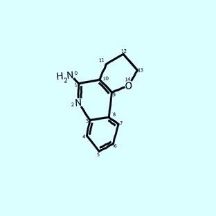 Nc1nc2cc[c]cc2c2c1CCCO2